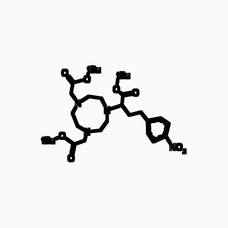 CC(C)(C)OC(=O)CN1CCN(CC(=O)OC(C)(C)C)CCN(C(CCc2ccc([N+](=O)[O-])cc2)C(=O)OC(C)(C)C)CC1